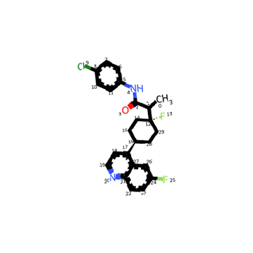 CC(C(=O)Nc1ccc(Cl)cc1)[C@]1(F)CC[C@H](c2ccnc3ccc(F)cc32)CC1